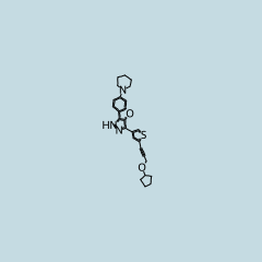 C(#Cc1cc(-c2n[nH]c3c2oc2cc(N4CCCCC4)ccc23)cs1)COC1CCCC1